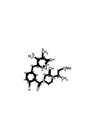 COC[C@@H](C)N1CCN(C(=O)c2cc(Cc3n[nH]c(=O)c(C)c3C)ccc2F)CC1=O